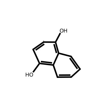 Oc1[c]cc(O)c2ccccc12